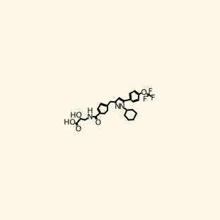 O=C(NCC(O)C(=O)O)C1=CC=C(Cc2cc(-c3ccc(OC(F)(F)F)cc3)n(C3CCCCC3)n2)CC1